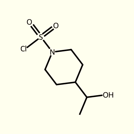 CC(O)C1CCN(S(=O)(=O)Cl)CC1